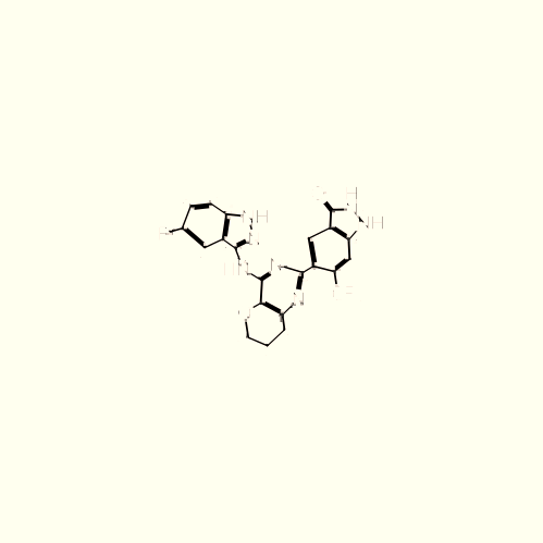 O=c1[nH][nH]c2cc(C(F)(F)F)c(-c3nc4c(c(Nc5n[nH]c6ccc(F)cc56)n3)OCCC4)cc12